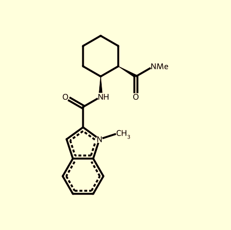 CNC(=O)[C@@H]1CCCC[C@@H]1NC(=O)c1cc2ccccc2n1C